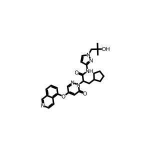 CC(C)(O)Cn1ccc(NC(=O)C(CC2CCCC2)n2ncc(Oc3cccc4cnccc34)cc2=O)n1